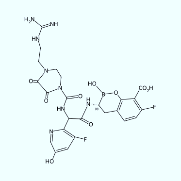 N=C(N)NCCN1CCN(C(=O)NC(C(=O)N[C@H]2Cc3ccc(F)c(C(=O)O)c3OB2O)c2ncc(O)cc2F)C(=O)C1=O